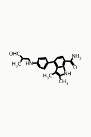 Cc1[nH]c2c(C(N)=O)ccc(-c3ccc(NCC(C)C=O)cc3)c2c1C